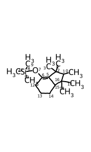 CC1C(C)(C)C2=C(O[Si](C)(C)C)CCCC2C1(C)C